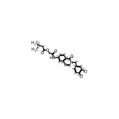 CN(C)CC(=O)OCC(=O)Nc1ccc2c(=O)n(Cc3ccc(Cl)c(Cl)c3)cnc2c1